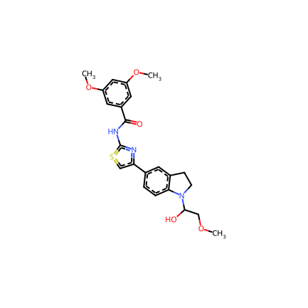 COCC(O)N1CCc2cc(-c3csc(NC(=O)c4cc(OC)cc(OC)c4)n3)ccc21